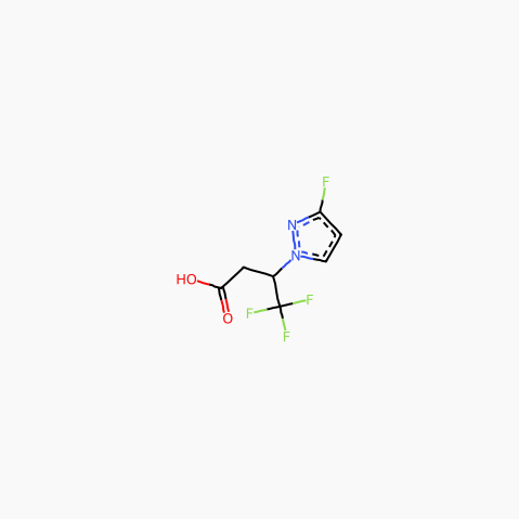 O=C(O)CC(n1ccc(F)n1)C(F)(F)F